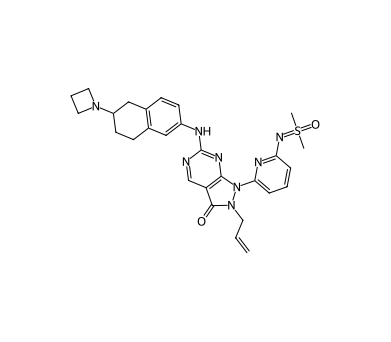 C=CCn1c(=O)c2cnc(Nc3ccc4c(c3)CCC(N3CCC3)C4)nc2n1-c1cccc(N=S(C)(C)=O)n1